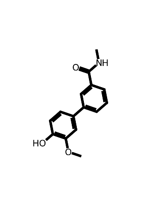 CNC(=O)c1cccc(-c2ccc(O)c(OC)c2)c1